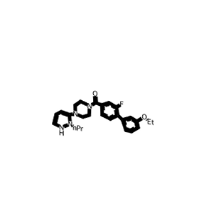 CCCN1NC=CC=C1N1CCN(C(=O)c2ccc(-c3cccc(OCC)c3)c(F)c2)CC1